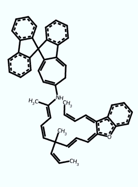 C\C=C/C=c1\c(=C/C=C/C(C)(/C=C\C)/C=C\C=C(/C)NC2=CC=C3C(=CC2)c2ccccc2C32c3ccccc3-c3ccccc32)oc2ccccc12